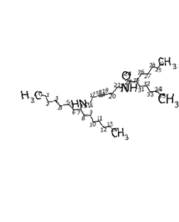 CCCCCCCC(CCCCCCC)NCCC#CCCNC(=O)C(CCCCC)CCCCC